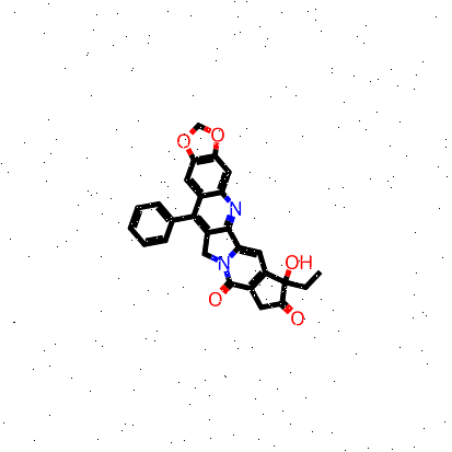 CCC1(O)C(=O)Cc2c1cc1n(c2=O)Cc2c-1nc1cc3c(cc1c2-c1ccccc1)OCO3